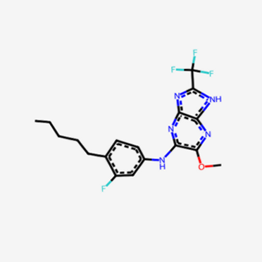 CCCCCc1ccc(Nc2nc3nc(C(F)(F)F)[nH]c3nc2OC)cc1F